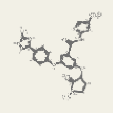 CCOC(=O)c1csc(NC(=O)c2cc(Oc3ccc(-c4nnc(C)o4)cc3)cc(OC3CCN(C)C3=O)c2)n1